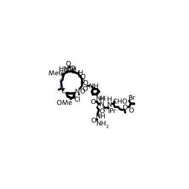 C=C(CBr)C(=O)OC(C)CCCC(C=O)N[C@H](C(=O)N[C@@H](CCCNC(N)=O)C(=O)Nc1ccc(NC(=O)O[C@H]2CC(=O)N(C)c3cc(cc(OC)c3Cl)C/C(C)=C/C=C/[C@@H](OC)[C@@]3(O)C[C@H](OC(=O)N3)[C@@H](C)[C@@H]3O[C@@]23C)cc1)C(C)C